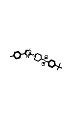 Cc1ccc(-c2csc(N3CCC(S(=O)(=O)c4ccc(C(C)(C)C)cc4)CC3)n2)cc1